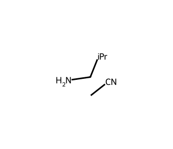 CC#N.CC(C)CN